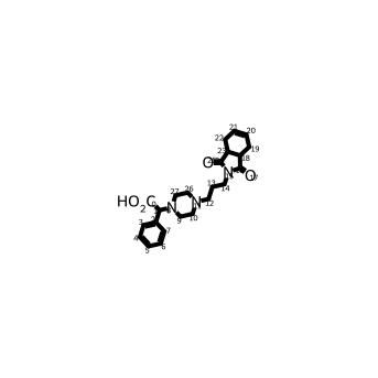 O=C(O)C(c1ccccc1)N1CCN(CCCN2C(=O)C3CC=CCC3C2=O)CC1